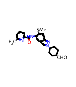 CSc1cc2nn([C@H]3CC[C@H](C=O)CC3)cc2cc1NC(=O)c1cccc(C(F)(F)F)n1